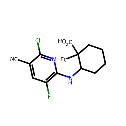 CCC1(C(=O)O)CCCCC1Nc1nc(Cl)c(C#N)cc1F